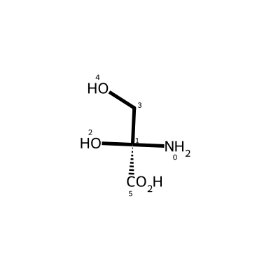 N[C@@](O)(CO)C(=O)O